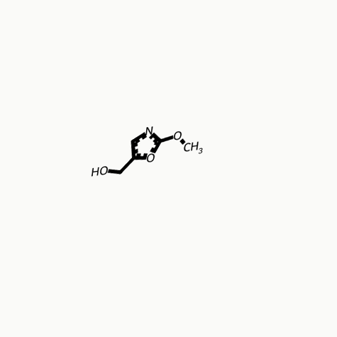 COc1ncc(CO)o1